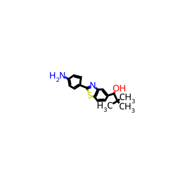 CC(C)(C)C(O)c1ccc2sc(-c3ccc(N)cc3)nc2c1